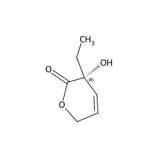 CC[C@@]1(O)C=CCOC1=O